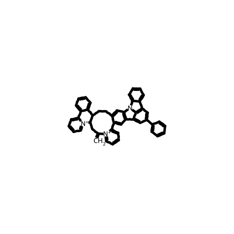 C=C1CC2C(CCc3cc4c(cc3-c3cccc[n+]31)c1cc(-c3ccccc3)cc3c5ccccc5n4c31)c1ccccc1-c1cccc[n+]12